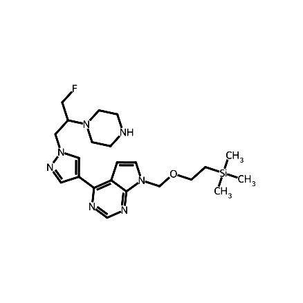 C[Si](C)(C)CCOCn1ccc2c(-c3cnn(CC(CF)N4CCNCC4)c3)ncnc21